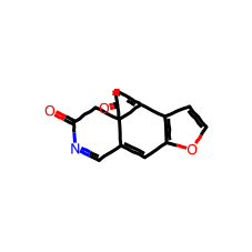 O=C1CC23C(=O)C=CC=C2c2ccoc2C=C3C=N1